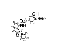 COc1ccc(/C=C/C(=O)Nc2cccc3c2N(Cc2ccccc2)C(=O)C3)cc1O